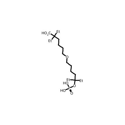 CCC(CC)(CCCCOCCCCC(CC)(CC)C(=O)O)OP(=O)(O)O